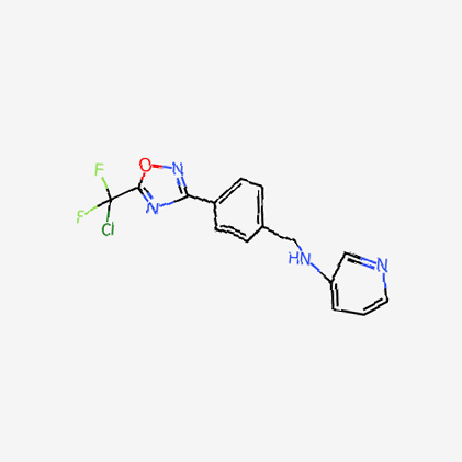 FC(F)(Cl)c1nc(-c2ccc(CNc3cccnc3)cc2)no1